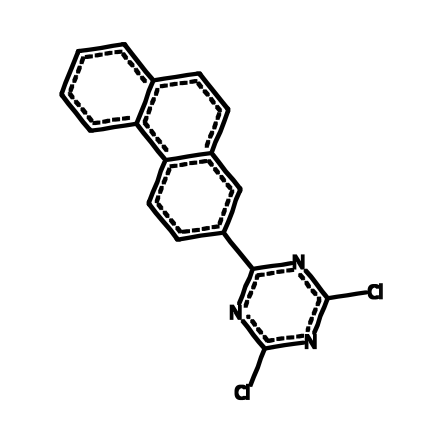 Clc1nc(Cl)nc(-c2ccc3c(ccc4ccccc43)c2)n1